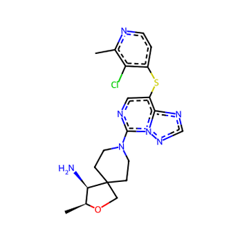 Cc1nccc(Sc2cnc(N3CCC4(CC3)CO[C@@H](C)[C@H]4N)n3ncnc23)c1Cl